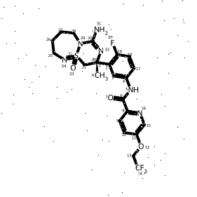 C[C@@]1(c2cc(NC(=O)c3ccc(OCC(F)(F)F)cn3)ccc2F)CS2(=O)=NCCCCN2C(N)=N1